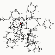 C[Si]1(CCCO)O[Si]2(c3ccccc3)O[Si]3(c4ccccc4)O[Si]4(c5ccccc5)O[Si](C)(CCCO)O[Si]5(c6ccccc6)O[Si](c6ccccc6)(O[Si](c6ccccc6)(O1)O[Si](c1ccccc1)(O5)O[Si](c1ccccc1)(O2)O4)O3